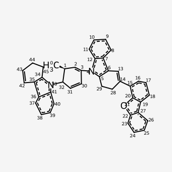 C[C@H]1C=C(n2c3c(c4ccccc42)C=C(c2cccc4c2oc2ccccc24)CC3)C=CC1n1c2c(c3ccccc31)C=CCC2